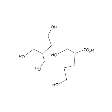 O=C(O)C(CO)CCCO.OCCC(CO)CO